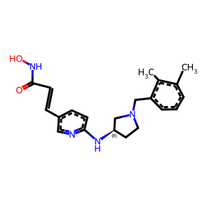 Cc1cccc(CN2CC[C@@H](Nc3ccc(C=CC(=O)NO)cn3)C2)c1C